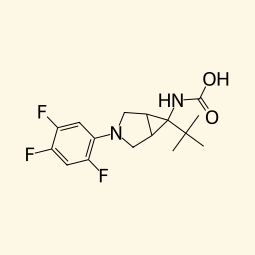 CC(C)(C)C1(NC(=O)O)C2CN(c3cc(F)c(F)cc3F)CC21